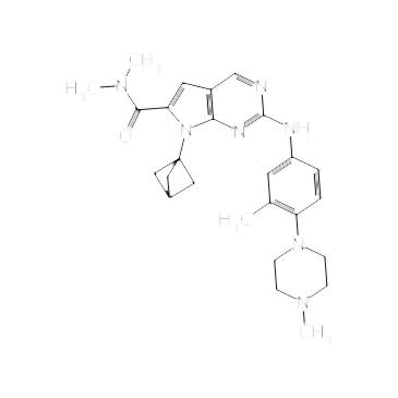 Cc1cc(Nc2ncc3cc(C(=O)N(C)C)n(C45CC(C4)C5)c3n2)ccc1N1CCN(C)CC1